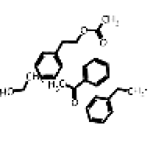 CC(=O)OCCc1ccccc1.CC(=O)c1ccccc1.CCO.[CH2]Cc1ccccc1